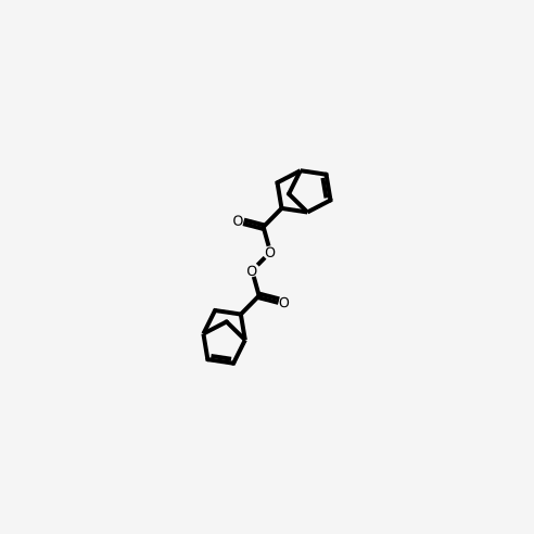 O=C(OOC(=O)C1CC2C=CC1C2)C1CC2C=CC1C2